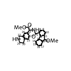 COC(=O)C(NC(=O)c1cccc2c1-c1ccccc1C2OC)c1ccc2c(c1)CNCC2